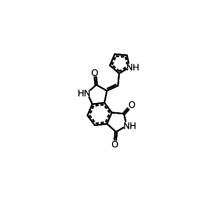 O=C1Nc2ccc3c(c2/C1=C/c1ccc[nH]1)C(=O)NC3=O